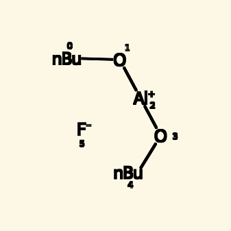 CCCC[O][Al+][O]CCCC.[F-]